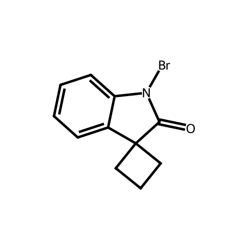 O=C1N(Br)c2ccccc2C12CCC2